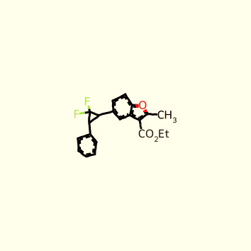 CCOC(=O)c1c(C)oc2ccc(C3C(c4ccccc4)C3(F)F)cc12